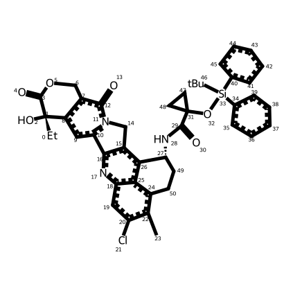 CC[C@@]1(O)C(=O)OCc2c1cc1n(c2=O)Cc2c-1nc1cc(Cl)c(C)c3c1c2[C@H](NC(=O)C1(O[Si](c2ccccc2)(c2ccccc2)C(C)(C)C)CC1)CC3